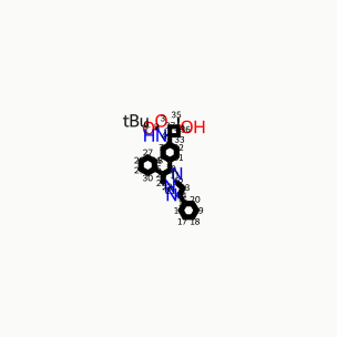 CC(C)(C)OC(=O)N[C@]1(c2ccc(-c3nc4cc(-c5ccccc5)nn4cc3-c3ccccc3)cc2)C[C@@](C)(O)C1